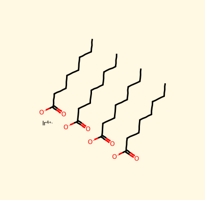 CCCCCCCC(=O)[O-].CCCCCCCC(=O)[O-].CCCCCCCC(=O)[O-].CCCCCCCC(=O)[O-].[Ir+4]